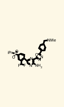 CNCc1ccc(-c2nnc(-c3nc(-c4ccc(S(=O)(=O)C(C)C)cc4C(F)F)cnc3N)o2)cc1